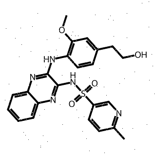 COc1cc(CCO)ccc1Nc1nc2ccccc2nc1NS(=O)(=O)c1ccc(C)nc1